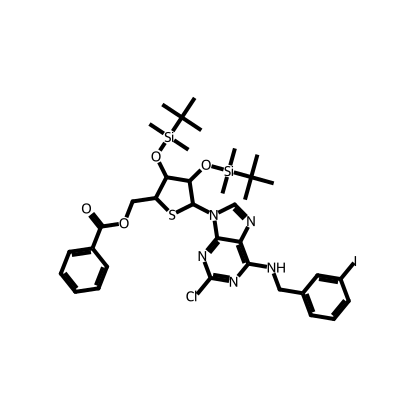 CC(C)(C)[Si](C)(C)OC1C(COC(=O)c2ccccc2)SC(n2cnc3c(NCc4cccc(I)c4)nc(Cl)nc32)C1O[Si](C)(C)C(C)(C)C